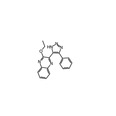 CCOc1nc2ccccc2nc1-c1[nH]nnc1-c1ccccc1